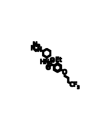 CCc1cc(OCCCC(F)(F)F)ccc1S(=O)(=O)N[C@H]1CCC[C@@H](n2cnnc2)C1